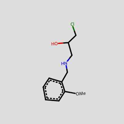 COc1ccccc1CNCC(O)CCl